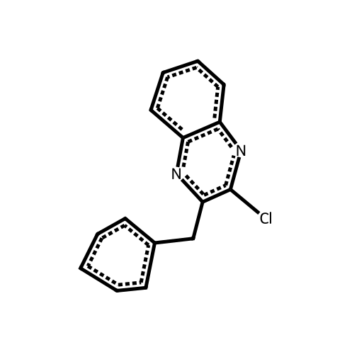 Clc1nc2ccccc2nc1Cc1ccccc1